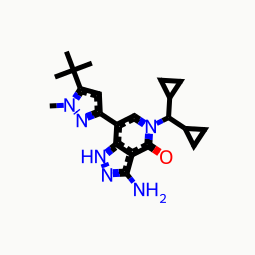 Cn1nc(-c2cn(C(C3CC3)C3CC3)c(=O)c3c(N)n[nH]c23)cc1C(C)(C)C